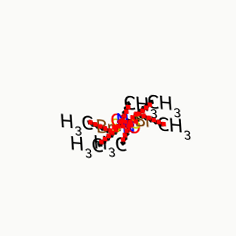 CCCCCCCCCCC(CCCCCCCC)Cc1cc(-c2cc3c(cc(-c4cc(CC(CCCCCCCC)CCCCCCCCCC)c(Br)s4)c(=O)n3CCCCCCCC)n(CCCCCCCC)c2=O)sc1Br